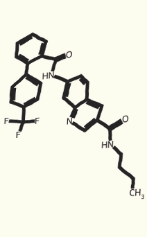 CCCCNC(=O)c1cnc2cc(NC(=O)c3ccccc3-c3ccc(C(F)(F)F)cc3)ccc2c1